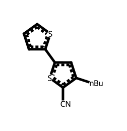 CCCCc1cc(-c2cccs2)sc1C#N